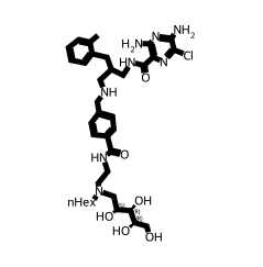 CCCCCCN(CCNC(=O)c1ccc(CNCC(CNC(=O)c2nc(Cl)c(N)nc2N)Cc2ccccc2C)cc1)C[C@H](O)[C@@H](O)[C@H](O)CO